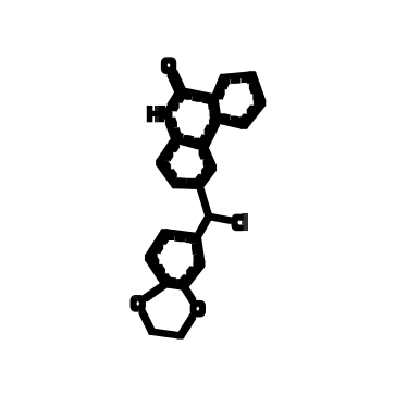 O=c1[nH]c2ccc(C(Cl)c3ccc4c(c3)OCCO4)cc2c2ccccc12